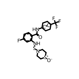 O=C(NC12CCC(C(F)(F)F)(CC1)CC2)c1ccc(F)cc1NSN1CC[S+]([O-])CC1